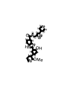 COc1ncccc1-c1ccc(O)c(-c2nc3cc(C(=O)N(C)Cc4cc(-c5ccncc5)no4)ccc3[nH]2)c1